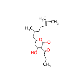 CCCC(=O)C1=C(O)CC(CC(C)CCC=C(C)C)OC1=O